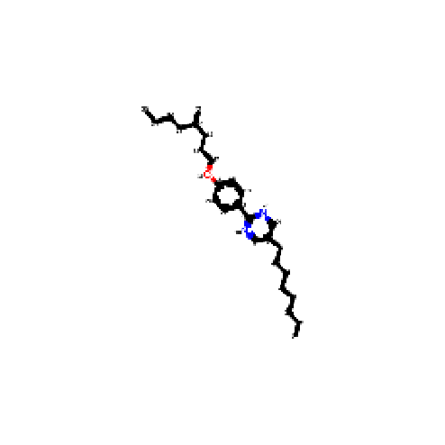 CCCCCCCCc1cnc(-c2ccc(OCCCC(C)CCCC)cc2)nc1